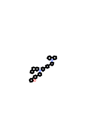 c1cc(-c2ccc3c(c2)oc2ccccc23)cc(N(c2ccc(-c3ccc(-c4cccc(-n5c6ccccc6c6ccccc65)c4)cc3)cc2)c2ccc3ccc4ccccc4c3c2)c1